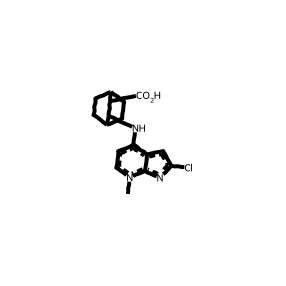 Cn1ccc(NC2C3CCC(CC3)C2C(=O)O)c2cc(Cl)nc1-2